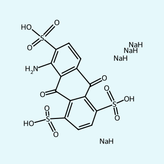 Nc1c(S(=O)(=O)O)ccc2c1C(=O)c1c(S(=O)(=O)O)ccc(S(=O)(=O)O)c1C2=O.[NaH].[NaH].[NaH].[NaH]